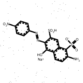 Nc1ccc2c(O)c(N=Nc3ccc([N+](=O)[O-])cc3)c(S(=O)(=O)O)cc2c1S(=O)(=O)[O-].[Na+]